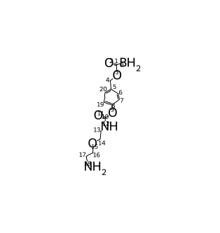 BC(=O)OCc1ccc(OC(=O)NCCOCCN)cc1